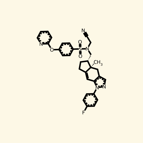 C[C@]12Cc3cnn(-c4ccc(F)cc4)c3C=C1CC[C@@H]2CN(CC#N)S(=O)(=O)c1ccc(Oc2ccccn2)cc1